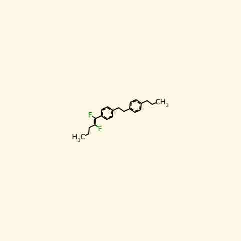 CCC/C(F)=C(\F)c1ccc(CCc2ccc(CCC)cc2)cc1